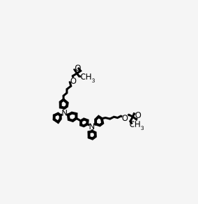 CCC1(COCCCCCc2ccc(N(c3ccccc3)c3ccc(-c4ccc(N(c5ccccc5)c5ccc(CCCCCOCC6(CC)COC6)cc5)cc4)cc3)cc2)COC1